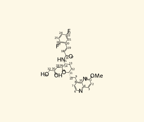 COc1ccc2nccc(CC[C@H]3CC[C@@H](NC(=O)/C=C/c4cc(F)ccc4F)[C@H](C[C@@H](O)CO)O3)c2n1